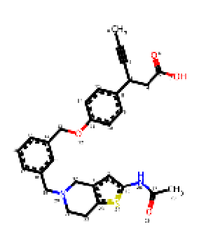 CC#CC(CC(=O)O)c1ccc(OCc2cccc(CN3CCc4sc(NC(C)=O)cc4C3)c2)cc1